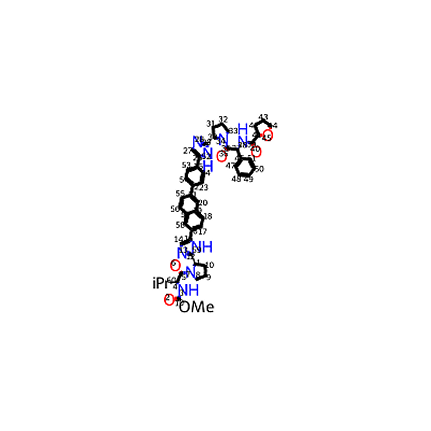 COC(=O)N[C@H](C(=O)N1CCC[C@H]1c1ncc(-c2ccc3cc(-c4ccc(-c5cnc([C@@H]6CCCN6C(=O)[C@H](NC(=O)C6CCCO6)c6ccccc6)[nH]5)cc4)ccc3c2)[nH]1)C(C)C